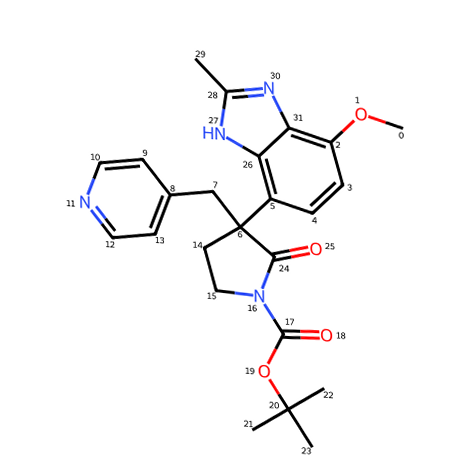 COc1ccc(C2(Cc3ccncc3)CCN(C(=O)OC(C)(C)C)C2=O)c2[nH]c(C)nc12